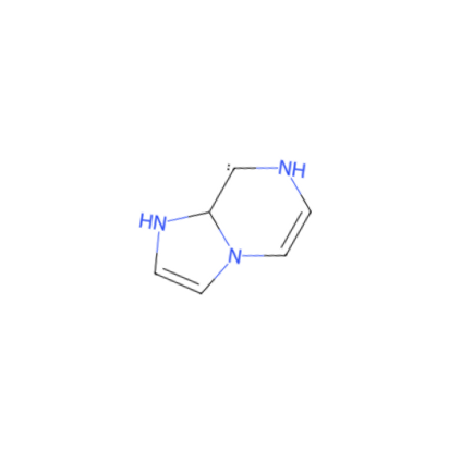 [C]1NC=CN2C=CNC12